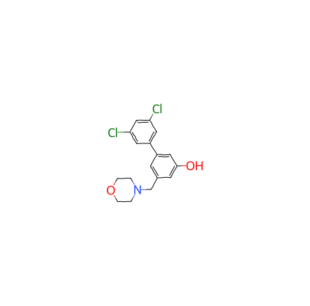 Oc1cc(CN2CCOCC2)cc(-c2cc(Cl)cc(Cl)c2)c1